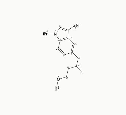 CCCc1cn(C(C)C)c2ccc(CC(C)CCOCC)cc12